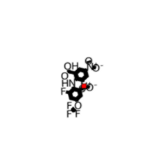 O=C(O)c1cc([N+](=O)[O-])cc([N+](=O)[O-])c1Nc1c(F)cc(OC(F)(F)F)cc1F